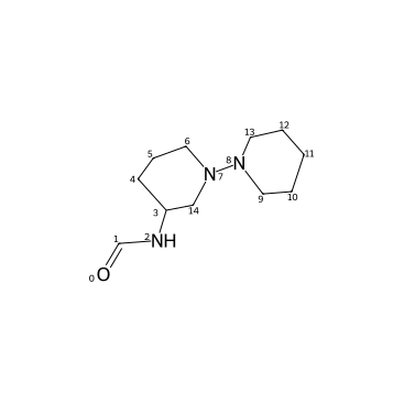 O=CNC1CCCN(N2CCCCC2)C1